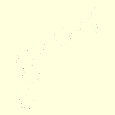 Cc1cccc(-c2ccc(CNc3nccc4cc(-n5ccnc5)ncc34)cc2)c1